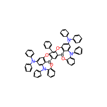 c1ccc(-c2c3c(cc4c2Oc2cc(N(c5ccccc5)c5ccccc5)cc5c2B4Oc2ccccc2N5c2ccccc2)B2Oc4ccccc4N(c4ccccc4)c4cc(N(c5ccccc5)c5ccccc5)cc(c42)O3)cc1